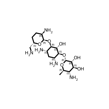 C[C@H]1O[C@H](O[C@@H]2[C@@H](O)[C@H](O[C@H]3O[C@H](CN)CC[C@H]3N)[C@@H](N)C[C@H]2N)[C@H](O)[C@@H](O)[C@@H]1N